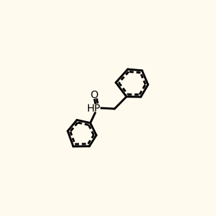 O=[PH](Cc1ccccc1)c1ccccc1